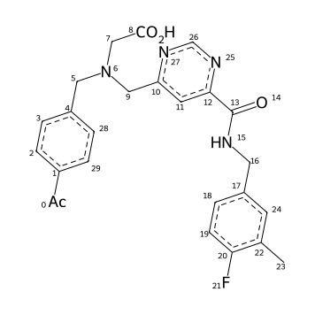 CC(=O)c1ccc(CN(CC(=O)O)Cc2cc(C(=O)NCc3ccc(F)c(C)c3)ncn2)cc1